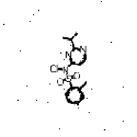 Cc1ccccc1S(=O)(=O)N(Cl)c1ccnc(C(C)C)n1